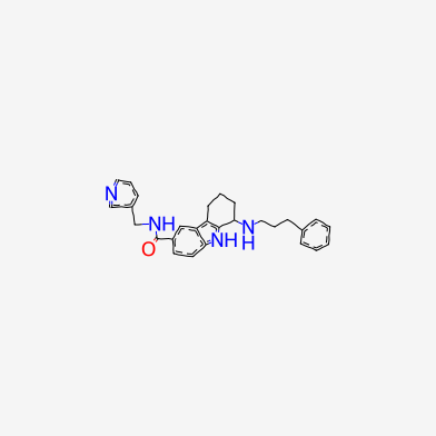 O=C(NCc1cccnc1)c1ccc2[nH]c3c(c2c1)CCCC3NCCCc1ccccc1